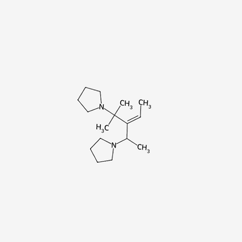 C/C=C(/C(C)N1CCCC1)C(C)(C)N1CCCC1